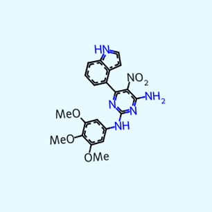 COc1cc(Nc2nc(N)c([N+](=O)[O-])c(-c3cccc4[nH]ccc34)n2)cc(OC)c1OC